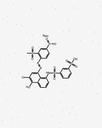 CS(=O)(=O)c1cc([N+](=O)[O-])ccc1N=Nc1cc(Cl)c(O)c2cccc(NS(=O)(=O)c3cccc(S(=O)(=O)O)c3)c12.[NaH]